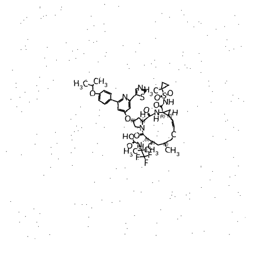 CC(C)Oc1ccc(-c2cc(O[C@@H]3C[C@H]4C(=O)N[C@]5(C(=O)NS(=O)(=O)C6(C)CC6)C[C@H]5C=CCC[C@@H](C)C[C@@H](C)[C@H](N(C(=O)O)C(C)(C)C(F)(F)F)C(=O)N4C3)cc(-c3cncs3)n2)cc1